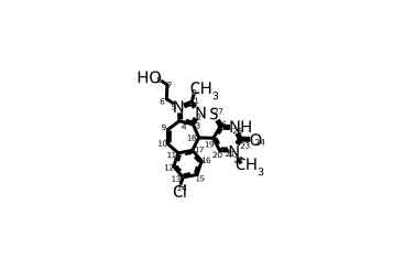 Cc1nc2c(n1CCO)C=Cc1cc(Cl)ccc1C2c1cn(C)c(=O)[nH]c1=S